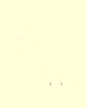 C=CC[C@](C)(C[N+](C)(C)C)[C@H](NC(=O)OCC1c2ccccc2-c2ccccc21)C(=O)O